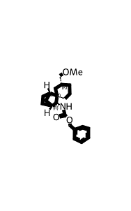 COC[C@@H]1CCC[C@@]2(C1)[C@H]1CC[C@H](C1)[C@H]2NC(=O)OCc1ccccc1